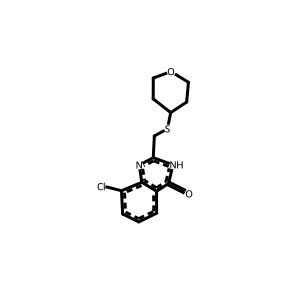 O=c1[nH]c(CSC2CCOCC2)nc2c(Cl)cccc12